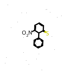 O=[N+]([O-])C1=CC=CC(=S)C1c1ccccc1